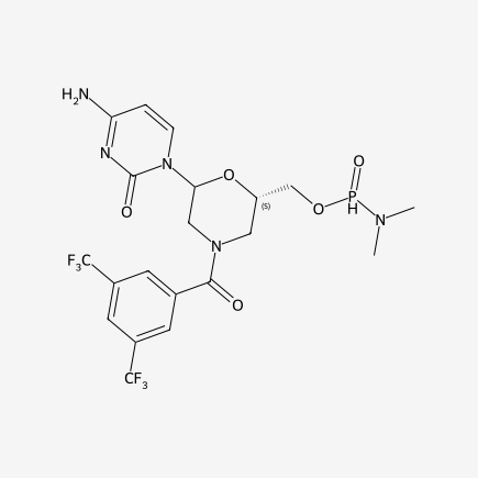 CN(C)[PH](=O)OC[C@@H]1CN(C(=O)c2cc(C(F)(F)F)cc(C(F)(F)F)c2)CC(n2ccc(N)nc2=O)O1